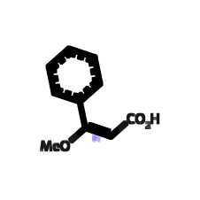 CO/C(=C/C(=O)O)c1ccccc1